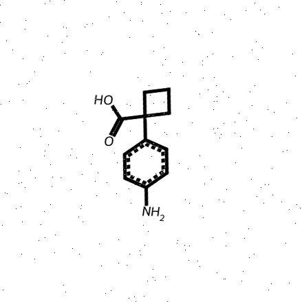 Nc1ccc(C2(C(=O)O)CCC2)cc1